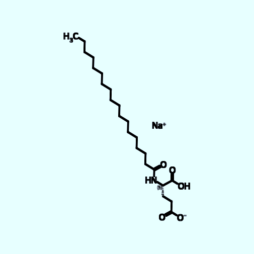 CCCCCCCCCCCCCCCCCC(=O)N[C@@H](CCC(=O)[O-])C(=O)O.[Na+]